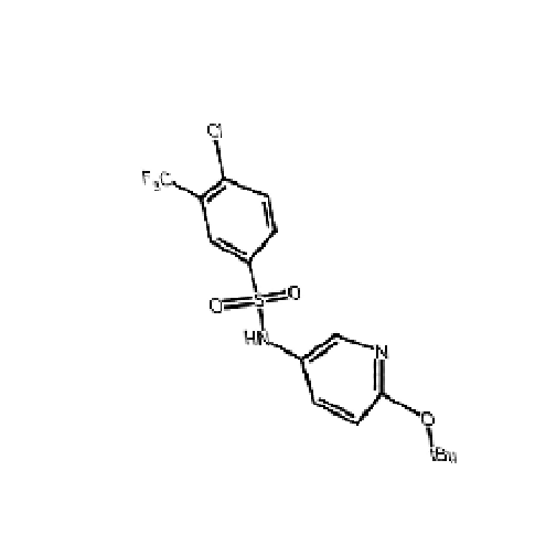 CC(C)(C)Oc1ccc(NS(=O)(=O)c2ccc(Cl)c(C(F)(F)F)c2)cn1